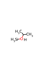 CC(C)O[SiH3].[H]